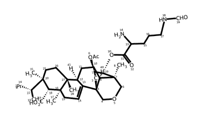 CC(=O)O[C@@H]1C[C@]23COC[C@@](C)([C@@H]2CC[C@H]2C3=CC[C@@]3(C)[C@H](C(=O)O)[C@@](C)([C@H](C)C(C)C)CC[C@]23C)[C@H]1OC(=O)C(N)CCCNC=O